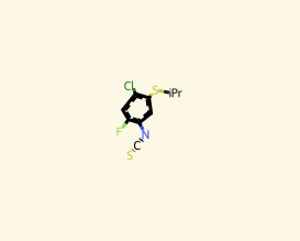 CC(C)Sc1cc(N=C=S)c(F)cc1Cl